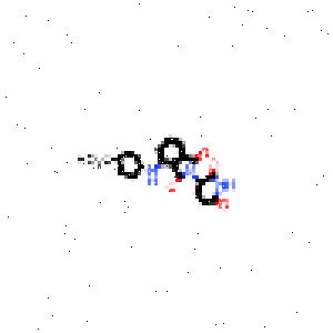 O=C1CCC(N2C(=O)c3cccc(N[C@H]4CC[C@H](C(=O)O)CC4)c3C2=O)C(=O)N1